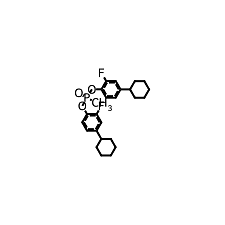 CP(=O)(Oc1ccc(C2CCCCC2)cc1F)Oc1ccc(C2CCCCC2)cc1F